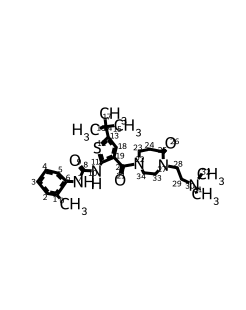 Cc1ccccc1NC(=O)Nc1sc(C(C)(C)C)cc1C(=O)N1CCC(=O)N(CCN(C)C)CC1